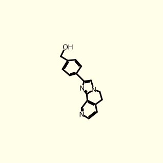 OCc1ccc(-c2cn3c(n2)-c2cnccc2CC3)cc1